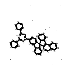 c1ccc(-c2nc(-c3ccccc3)nc(-c3ccc4c(c3)-c3ccccc3C43c4ccccc4-c4c3ccc3ccccc43)n2)cc1